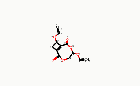 C=COC1COC(=O)C2=C(C(=O)O1)C(OC=C)C2